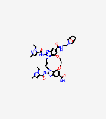 CCn1nc(C)cc1C(=O)Nc1nc2cc(C(N)=O)cc3c2n1C/C=C/Cn1c(NC(=O)c2cc(C)nn2CC)nc2cc(C(=O)NCCN4CC5CCC(C4)O5)cc(c21)OCCCO3